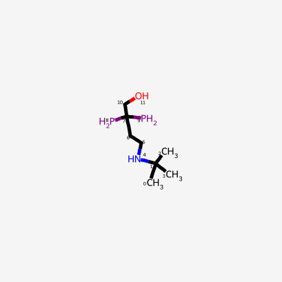 CC(C)(C)NCCC(P)(P)CO